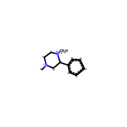 CN1CCN(C(=O)O)C(c2ccccc2)C1